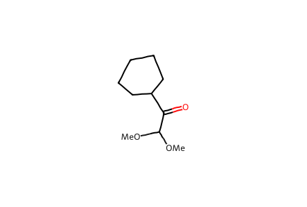 COC(OC)C(=O)C1CCCCC1